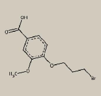 COc1cc(C(=O)O)ccc1OCCCBr